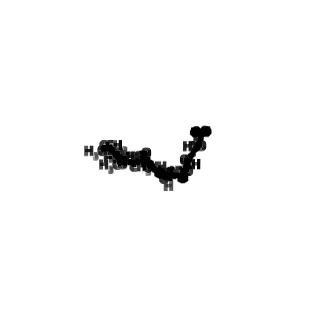 CC(=O)OC(C)C=CC(=O)N[C@@H]1C[C@H](C)[C@H](C/C=C(C)/C=C/[C@H]2O[C@H](CC(=O)NCc3ccc(S(=O)(=O)NC(=O)CCc4ccccc4NC(=O)CNC(=O)CCCCCNC(=O)OCC4c5ccccc5-c5ccccc54)cc3)C[C@@]3(CO3)[C@@H]2O)O[C@@H]1C